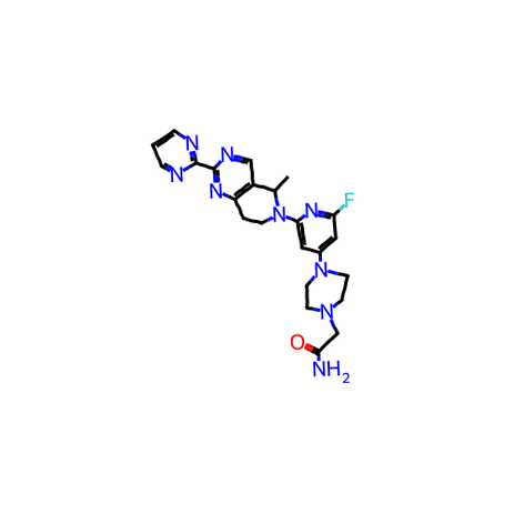 CC1c2cnc(-c3ncccn3)nc2CCN1c1cc(N2CCN(CC(N)=O)CC2)cc(F)n1